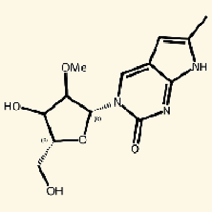 COC1C(O)[C@@H](CO)O[C@H]1n1cc2cc(C)[nH]c2nc1=O